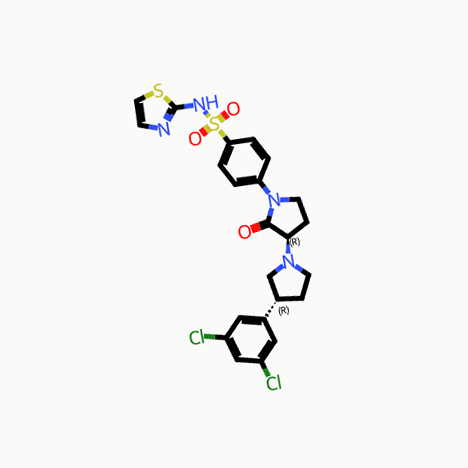 O=C1[C@H](N2CC[C@H](c3cc(Cl)cc(Cl)c3)C2)CCN1c1ccc(S(=O)(=O)Nc2nccs2)cc1